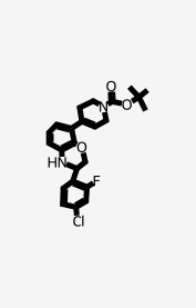 CC(C)(C)OC(=O)N1CC=C(c2cccc3c2OCC(c2ccc(Cl)cc2F)N3)CC1